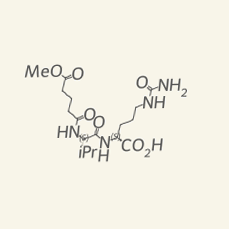 COC(=O)CCCC(=O)N[C@H](C(=O)N[C@@H](CCCNC(N)=O)C(=O)O)C(C)C